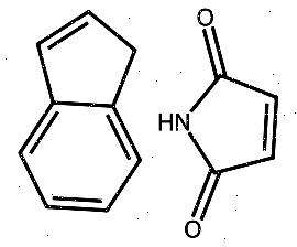 C1=Cc2ccccc2C1.O=C1C=CC(=O)N1